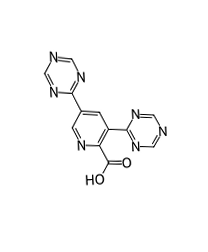 O=C(O)c1ncc(-c2ncncn2)cc1-c1ncncn1